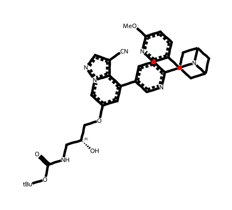 COc1ccc(CN2C3CC2CN(c2ccc(-c4cc(OC[C@H](O)CNC(=O)OC(C)(C)C)cn5ncc(C#N)c45)cn2)C3)cn1